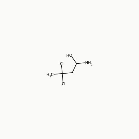 CC(Cl)(Cl)CC(N)O